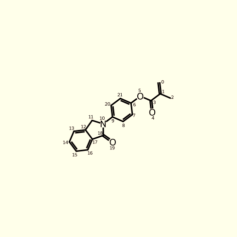 C=C(C)C(=O)Oc1ccc(N2Cc3ccccc3C2=O)cc1